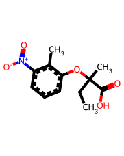 CCC(C)(Oc1cccc([N+](=O)[O-])c1C)C(=O)O